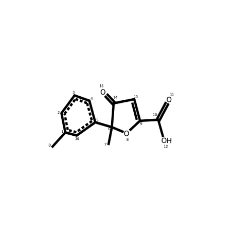 Cc1cccc(C2(C)OC(C(=O)O)=CC2=O)c1